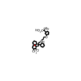 CCCCC(C(=O)O)c1cccc(OCCCNCC(Cc2cccc(C(F)(F)F)c2Cl)(c2ccccc2)c2ccccc2)c1